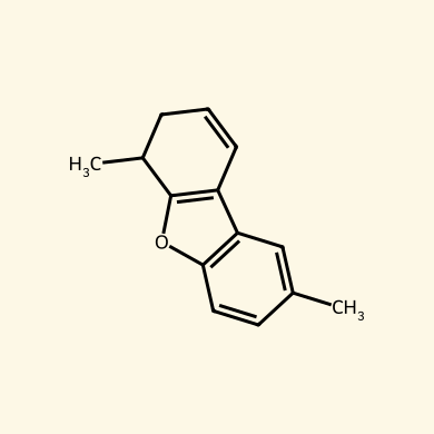 Cc1ccc2oc3c(c2c1)C=CCC3C